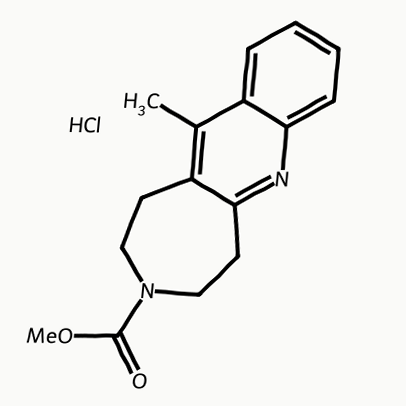 COC(=O)N1CCc2nc3ccccc3c(C)c2CC1.Cl